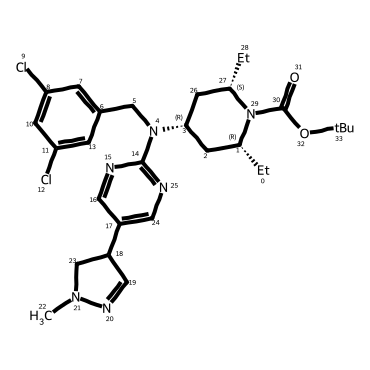 CC[C@@H]1C[C@H](N(Cc2cc(Cl)cc(Cl)c2)c2ncc(C3C=NN(C)C3)cn2)C[C@H](CC)N1C(=O)OC(C)(C)C